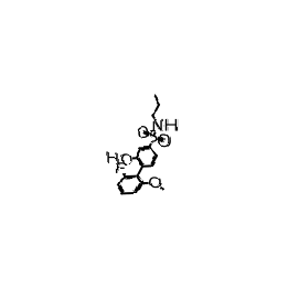 CCCNS(=O)(=O)c1ccc(-c2c(F)cccc2OC)c(O)c1